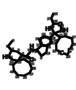 CCC1CC(C(=O)N[C@@H]2CCc3cc(C4(C5CCCCCCCC5)NOC(CC)N4)ccc32)C2(CCCCCCCC2)CN1